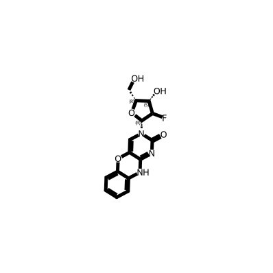 O=c1nc2c(cn1[C@@H]1O[C@H](CO)[C@H](O)C1F)Oc1ccccc1N2